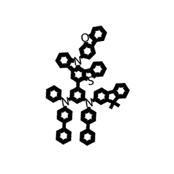 CC1(C)c2ccccc2-c2ccc(N(c3ccc(-c4ccccc4)cc3)c3cc(-c4cc5c6ccccc6n(-c6ccc7c(c6)oc6ccccc67)c5c5c4sc4ccccc45)cc(N(c4ccccc4)c4ccc(-c5ccccc5)cc4)c3)cc21